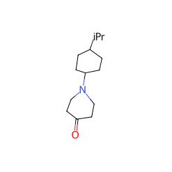 CC(C)C1CCC(N2CCC(=O)CC2)CC1